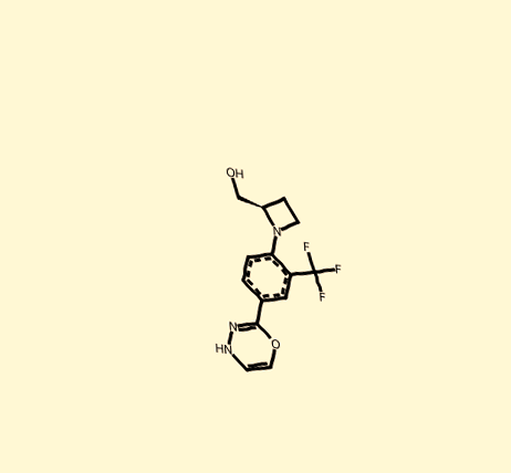 OC[C@H]1CCN1c1ccc(C2=NNC=CO2)cc1C(F)(F)F